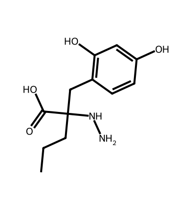 CCCC(Cc1ccc(O)cc1O)(NN)C(=O)O